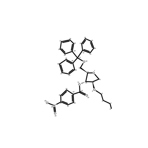 CCCCO[C@@H]1CO[C@H](COC(c2ccccc2)(c2ccccc2)c2ccccc2)[C@H]1OC(=O)c1ccc([N+](=O)[O-])cc1